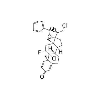 C[C@]12C=CC(=O)C=C1CC[C@H]1[C@@H]3CC[C@](OC(=O)c4ccccc4)(C(=O)CCl)[C@@]3(C)C[C@@H](F)[C@@]12Cl